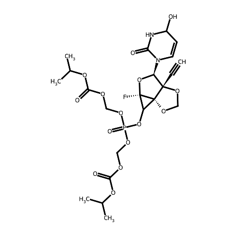 C#C[C@@]12OCO[C@@]13C(OP(=O)(OCOC(=O)OC(C)C)OCOC(=O)OC(C)C)[C@@]3(F)O[C@H]2N1C=CC(O)NC1=O